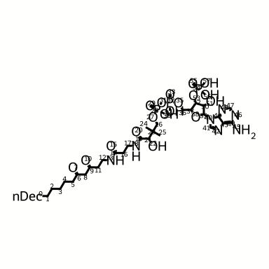 CCCCCCCCCCCCCCCC(=O)CC(=O)CCNC(=O)CCNC(=O)C(O)C(C)(C)COP(=O)(O)OP(=O)(O)OCC1OC(n2cnc3c(N)ncnc32)C(O)C1OP(=O)(O)O